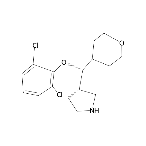 Clc1cccc(Cl)c1O[C@H](C1CCOCC1)[C@H]1CCNC1